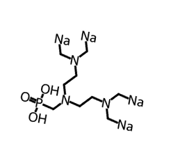 O=P(O)(O)CN(CCN([CH2][Na])[CH2][Na])CCN([CH2][Na])[CH2][Na]